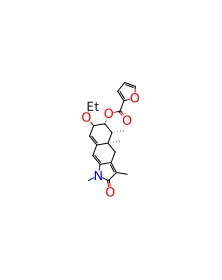 CCO[C@@H]1C=C2C=C3C(=C(C)C(=O)N3C)C[C@]2(C)[C@@H](C)[C@H]1OC(=O)c1ccco1